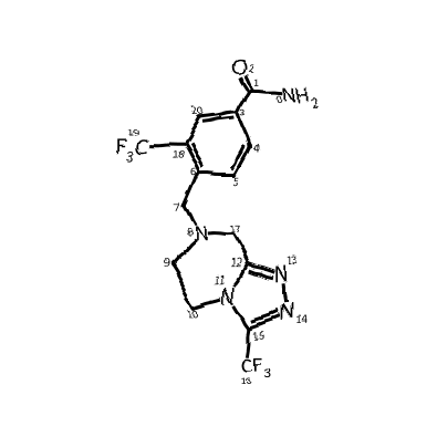 NC(=O)c1ccc(CN2CCn3c(nnc3C(F)(F)F)C2)c(C(F)(F)F)c1